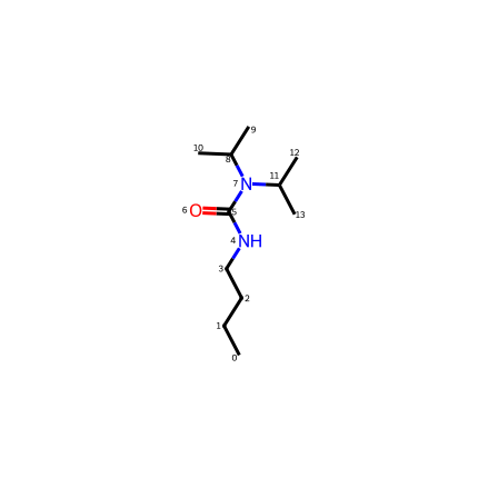 CCCCNC(=O)N(C(C)C)C(C)C